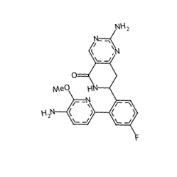 COc1nc(-c2cc(F)ccc2C2Cc3nc(N)ncc3C(=O)N2)ccc1N